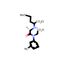 CCOC(=O)C(CCSC)N[C@@H](C)C(=O)N(CC(=O)O)c1cccc(C#N)c1